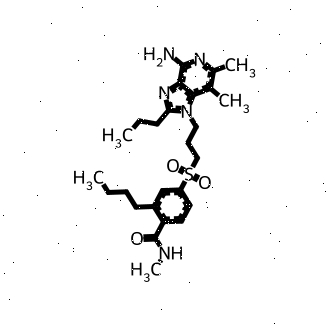 CCCCc1cc(S(=O)(=O)CCCn2c(CCC)nc3c(N)nc(C)c(C)c32)ccc1C(=O)NC